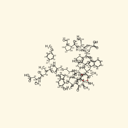 CCCC[C@@H](C(=O)N[C@@H](CCC(=O)O)C(=O)NCCSCC(=O)N[C@@H](Cc1ccc(OC)cc1)C(=O)N(C)CC(=O)N[C@H](C)CC(=O)O)N(C)C(=O)CN(C)C(=O)[C@H](Cc1c[nH]c2ccc(O)cc12)NC(=O)[C@H](CCN)NC(=O)[C@H](Cc1c[nH]c2ccccc12)NC(=O)C1CCCN1C(=O)[C@H](CCC(=O)O)NC(=O)[C@H](CN)NC(=O)C1CCCN1C=O